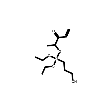 C=CC(=O)C(C)O[Si](CCCO)(OCC)OCC